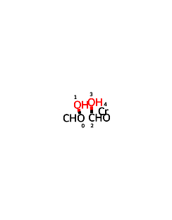 O=CO.O=CO.[Cr]